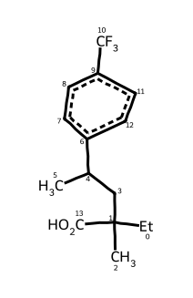 CCC(C)(CC(C)c1ccc(C(F)(F)F)cc1)C(=O)O